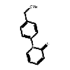 COCc1ccc(-n2ccccc2=O)cc1